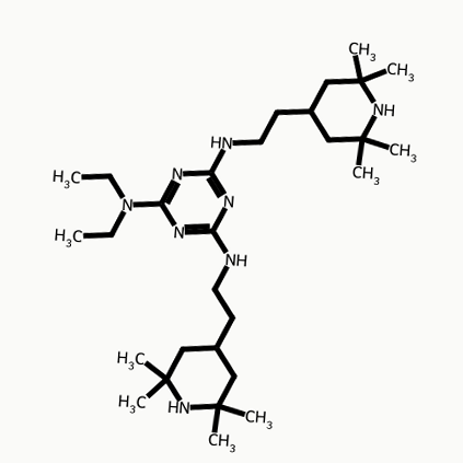 CCN(CC)c1nc(NCCC2CC(C)(C)NC(C)(C)C2)nc(NCCC2CC(C)(C)NC(C)(C)C2)n1